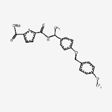 COC(=O)c1ccc(C(=O)NC(C)c2ccc(OCc3ccc(OC(F)(F)F)cc3)cc2)s1